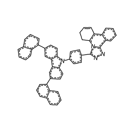 C1=Cc2c(n3c(-c4ccc(-n5c6ccc(-c7cccc8ccccc78)cc6c6cc(-c7cccc8ccccc78)ccc65)cc4)nnc3c3ccccc23)CC1